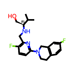 CC(C)[C@H](CO)NCc1nc(N2CCc3ccc(F)cc3C2)ccc1F